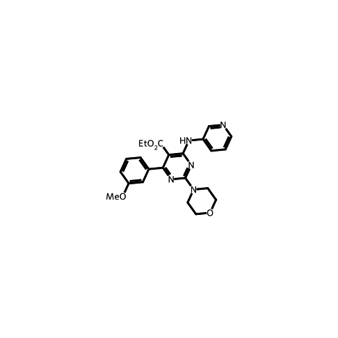 CCOC(=O)c1c(Nc2cccnc2)nc(N2CCOCC2)nc1-c1cccc(OC)c1